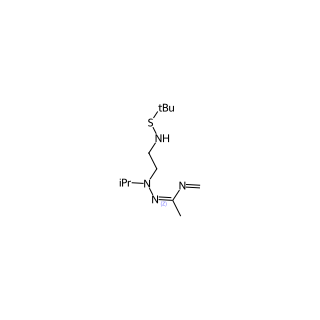 C=N/C(C)=N\N(CCNSC(C)(C)C)C(C)C